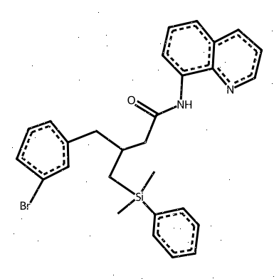 C[Si](C)(CC(CC(=O)Nc1cccc2cccnc12)Cc1cccc(Br)c1)c1ccccc1